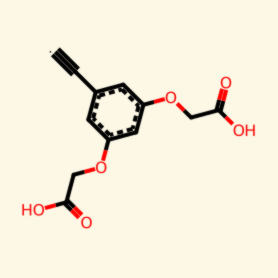 [C]#Cc1cc(OCC(=O)O)cc(OCC(=O)O)c1